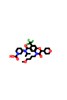 COCCCCN1C(=O)C(C2CCOCC2)Oc2cc(C(F)(F)F)c(C(=O)N(C(C)C)[C@@H]3CCCN(C(=O)O)C3)cc21